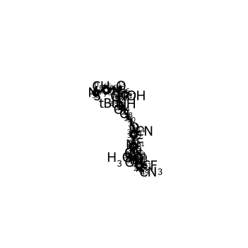 Cc1ncsc1-c1ccc(CNC(=O)[C@@H]2C[C@@H](O)CN2C(=O)[C@@H](NC(=O)COCCCCOc2ccc(-c3ncc(N4C(=S)N(c5ccc(C#N)c(C(F)(F)F)c5F)C(O)C4(C)C)cc3F)cc2C#N)C(C)(C)C)cc1